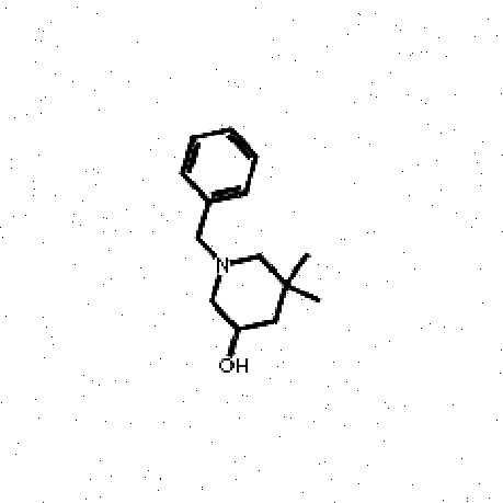 CC1(C)CC(O)CN(Cc2ccccc2)C1